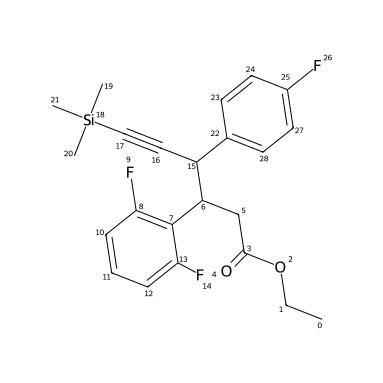 CCOC(=O)CC(c1c(F)cccc1F)C(C#C[Si](C)(C)C)c1ccc(F)cc1